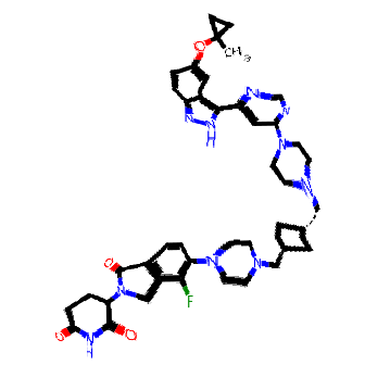 CC1(Oc2ccc3n[nH]c(-c4cc(N5CCN(C[C@H]6C[C@H](CN7CCN(c8ccc9c(c8F)CN(C8CCC(=O)NC8=O)C9=O)CC7)C6)CC5)ncn4)c3c2)CC1